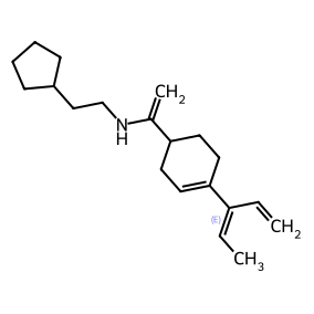 C=C/C(=C\C)C1=CCC(C(=C)NCCC2CCCC2)CC1